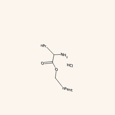 CCCCCCOC(=O)C(N)CCC.Cl